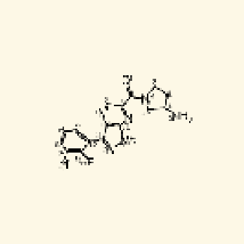 NC1CCN(C(=O)c2cnc3c(-c4cccc(Cl)c4F)n[nH]c3n2)C1